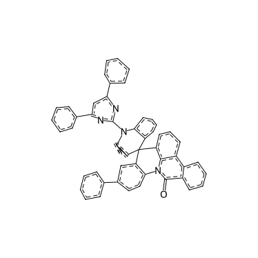 O=c1c2ccccc2c2cccc3c2n1-c1ccc(-c2ccccc2)cc1C31c2ccccc2N(c2nc(-c3ccccc3)cc(-c3ccccc3)n2)c2ccccc21